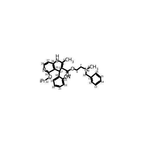 CC1=C(C(=O)OCCN(C)Cc2ccccc2)C(c2ccccc2C#N)c2c(ccnc2OC(C)C)N1